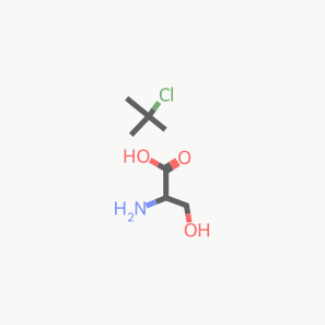 CC(C)(C)Cl.NC(CO)C(=O)O